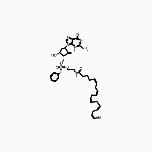 C=C1C(n2cnc3c(=O)nc(N)[nH]c32)C[C@H](O)[C@H]1COP(=O)(NCCNC(=O)CCC/C=C\C/C=C\C/C=C\C/C=C\C/C=C\CC)Oc1ccccc1